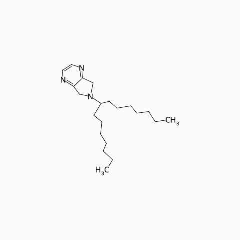 CCCCCCCC(CCCCCCC)N1Cc2nccnc2C1